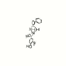 Oc1ccc([C@H](O)CN2C[C@H]3C[C@H](Oc4ccccc4)C[C@H]3C2)cc1F